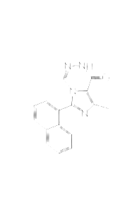 Cc1nc(-c2cccc3ccccc23)n2cn[nH]c(=O)c12